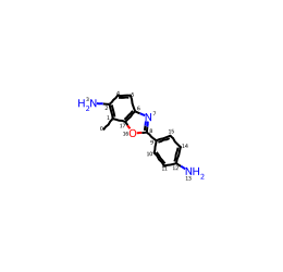 Cc1c(N)ccc2nc(-c3ccc(N)cc3)oc12